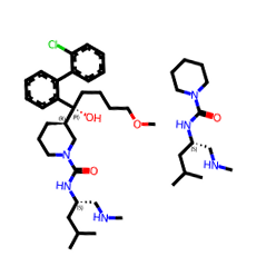 CNC[C@H](CC(C)C)NC(=O)N1CCCCC1.CNC[C@H](CC(C)C)NC(=O)N1CCC[C@@H]([C@](O)(CCCCOC)c2ccccc2-c2ccccc2Cl)C1